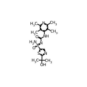 Cc1nc(C)c(C)c(NC(=O)N=[S@](N)(=O)c2cnc(C(C)(C)O)s2)c1C